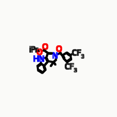 CC(C)OC(=O)C1=CN(C(=O)c2cc(C(F)(F)F)cc(C(F)(F)F)c2)CC(C)(C)c2c1[nH]c1ccccc21